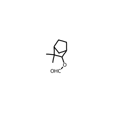 CC1(C)C2CCC(C2)C1OC=O